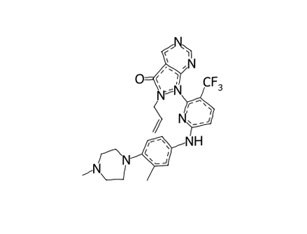 C=CCn1c(=O)c2cncnc2n1-c1nc(Nc2ccc(N3CCN(C)CC3)c(C)c2)ccc1C(F)(F)F